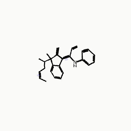 C=C/C(Nc1ccccc1)=C1\C(=C)C(C)(C(C)C/C=C\C)c2ccccc21